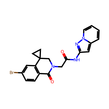 O=C(CN1CC2(CC2)c2cc(Br)ccc2C1=O)Nc1cc2ccccn2n1